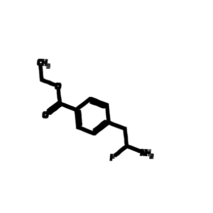 CCOC(=O)c1ccc(CC(N)F)cc1